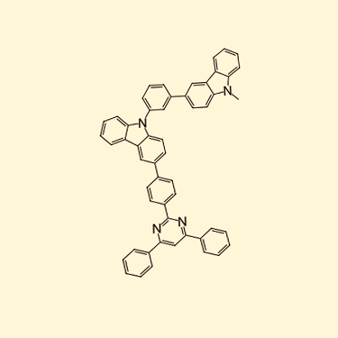 Cn1c2ccccc2c2cc(-c3cccc(-n4c5ccccc5c5cc(-c6ccc(-c7nc(-c8ccccc8)cc(-c8ccccc8)n7)cc6)ccc54)c3)ccc21